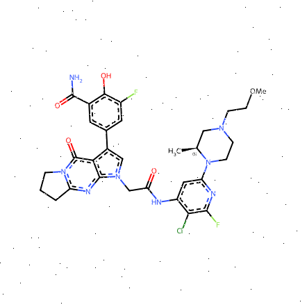 COCCN1CCN(c2cc(NC(=O)Cn3cc(-c4cc(F)c(O)c(C(N)=O)c4)c4c(=O)n5c(nc43)CCC5)c(Cl)c(F)n2)[C@@H](C)C1